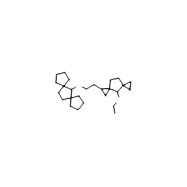 CCOC1C2(CC2)CCC12CC2CCOC1C2(CCCC2)CCC12CCCC2